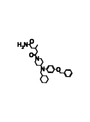 CC(CC(N)=O)CC(=O)N1CCC(N(CC2CCCCC2)c2ccc(OCc3ccccc3)cc2)CC1